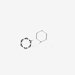 C[C@@H]1CC[C@](O)(C(=O)O)[C@@H](c2ccccc2)C1